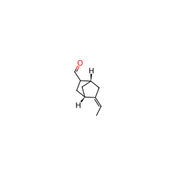 C/C=C1/C[C@@H]2C[C@H]1CC2C=O